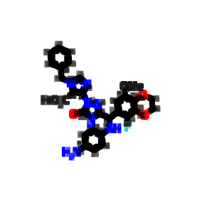 CCOC(=O)c1c(-n2nc(C(Nc3ccc(N)cc3)c3cc(OC)c4c(c3F)OCCO4)[nH]c2=O)ncn1Cc1ccccc1